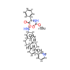 CC(C)(C)OC(=O)NC(C(=O)ONC1C=C2CC[C@H]3[C@H](CC[C@]4(C)C(c5cccnc5)=CC[C@@H]34)[C@@]2(C)CC1)c1ccccc1